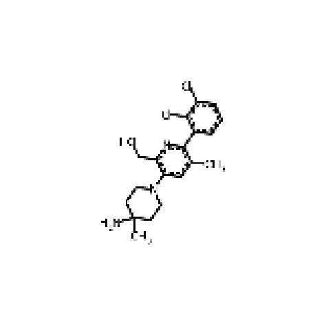 Cc1cc(N2CCC(C)(N)CC2)c(CO)nc1-c1cccc(Cl)c1Cl